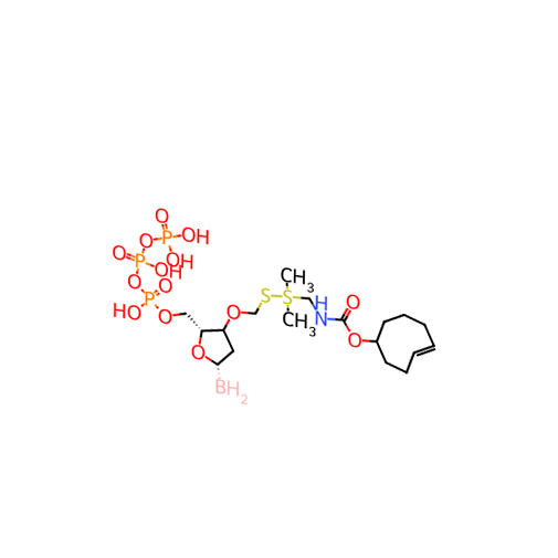 B[C@H]1CC(OCSS(C)(C)CNC(=O)OC2CC/C=C/CCC2)[C@@H](COP(=O)(O)OP(=O)(O)OP(=O)(O)O)O1